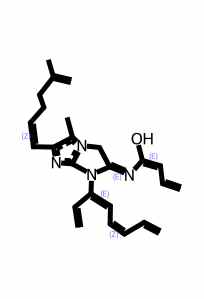 C=C/C=C\C=C(/C=C)N1/C(=N/C(O)=C\C=C)Cn2c1nc(/C=C\CCC(=C)C)c2C